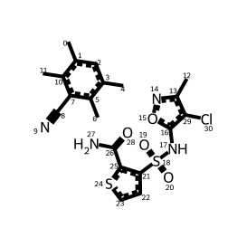 Cc1cc(C)c(C)c(C#N)c1C.Cc1noc(NS(=O)(=O)c2ccsc2C(N)=O)c1Cl